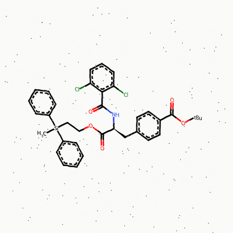 CC(C)(C)OC(=O)c1ccc(C[C@H](NC(=O)c2c(Cl)cccc2Cl)C(=O)OCC[Si](C)(c2ccccc2)c2ccccc2)cc1